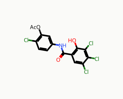 CC(=O)Oc1cc(NC(=O)c2cc(Cl)c(Cl)c(Cl)c2O)ccc1Cl